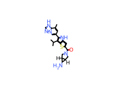 CC1=CC(c2[nH]c3cc(C(=O)N4C[C@@H]5[C@@H](N)[C@@H]5C4)sc3c2C(C)C)=CN2N=CNC12